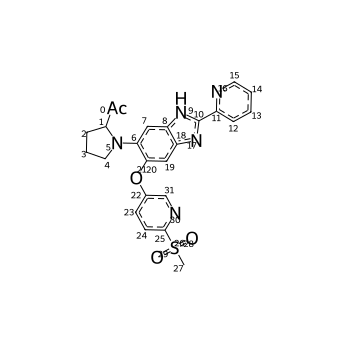 CC(=O)C1CCCN1c1cc2[nH]c(-c3ccccn3)nc2cc1Oc1ccc(S(C)(=O)=O)nc1